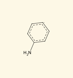 Nc1cc[c]cc1